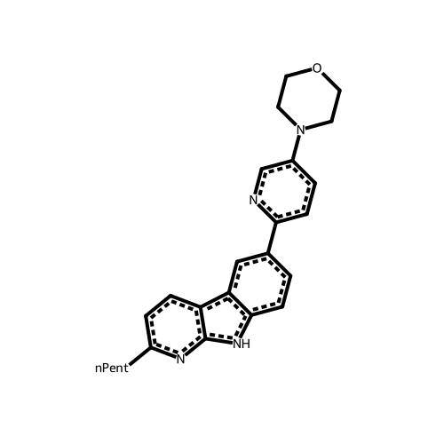 CCCCCc1ccc2c(n1)[nH]c1ccc(-c3ccc(N4CCOCC4)cn3)cc12